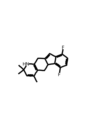 CC1=CC(C)(C)NC2=C1CC1C(=Cc3c(F)ccc(F)c31)C2